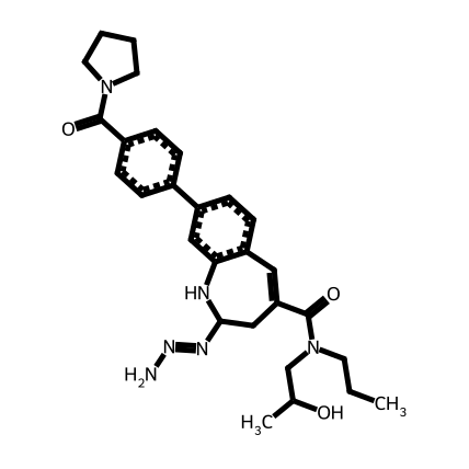 CCCN(CC(C)O)C(=O)C1=Cc2ccc(-c3ccc(C(=O)N4CCCC4)cc3)cc2NC(N=NN)C1